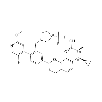 COc1cc(-c2ccc(C3CCc4ccc([C@H](C5CC5)[C@H](C)C(=O)O)cc4O3)cc2CN2CC[C@H](C(F)(F)F)C2)c(F)cn1